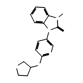 C=C1N(C)c2ccccc2N1c1ccc(NC2CCOC2)nc1